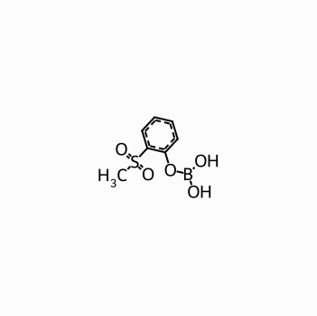 CS(=O)(=O)c1ccccc1OB(O)O